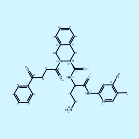 Cc1cnc(NC(=O)C(CCN)NC(=O)[C@@H]2Cc3ccccc3CN2C(=O)CCC(=O)c2ccccc2)cc1Cl